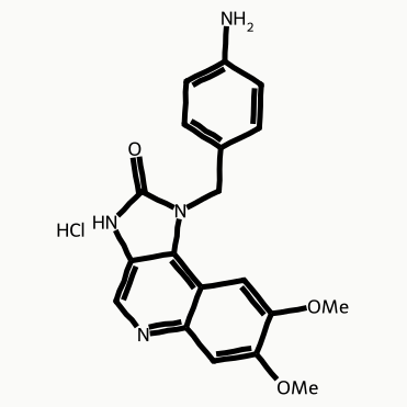 COc1cc2ncc3[nH]c(=O)n(Cc4ccc(N)cc4)c3c2cc1OC.Cl